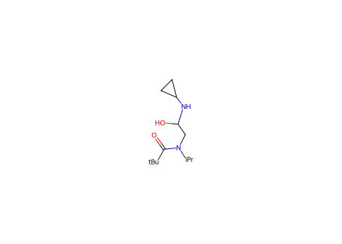 CC(C)N(CC(O)NC1CC1)C(=O)C(C)(C)C